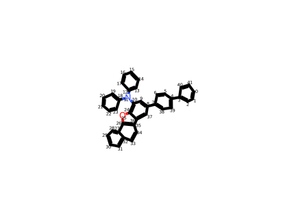 c1ccc(-c2ccc(-c3cc(N(c4ccccc4)c4ccccc4)c4oc5c6ccccc6ccc5c4c3)cc2)cc1